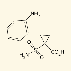 NS(=O)(=O)C1(C(=O)O)CC1.Nc1ccccc1